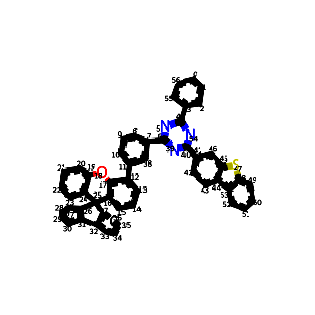 c1ccc(-c2nc(-c3cccc(-c4cccc5c4Oc4ccccc4C54c5ccccc5-c5ccccc54)c3)nc(-c3ccc4c(c3)sc3ccccc34)n2)cc1